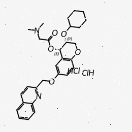 CN(C)CC(=O)O[C@H]1c2cc(OCc3ccc4ccccc4n3)ccc2OC[C@H]1OC1CCCCC1.Cl.Cl